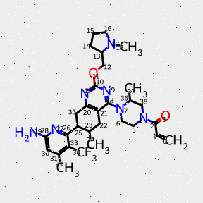 C=CC(=O)N1CCN(c2nc(OCC3CCCN3C)nc3c2CC(C)C(c2nc(N)cc(C)c2C(F)(F)F)C3)C(C)C1